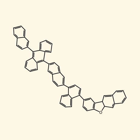 C1=c2ccccc2=CC2c3cc(-c4ccc(-c5ccc6cc(-c7c8ccccc8c(-c8ccc9ccccc9c8)c8ccccc78)ccc6c5)c5ccccc45)ccc3OC12